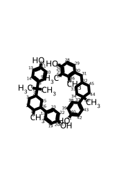 CC1CCC(C(C)(C)c2ccc(O)cc2)CC1c1ccc(O)cc1.Cc1c(O)ccc(CC2CCC(C)(c3ccc(O)cc3)CC2)c1C